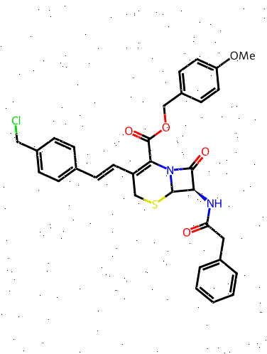 COc1ccc(COC(=O)C2=C(/C=C/c3ccc(CCl)cc3)CSC3[C@H](NC(=O)Cc4ccccc4)C(=O)N23)cc1